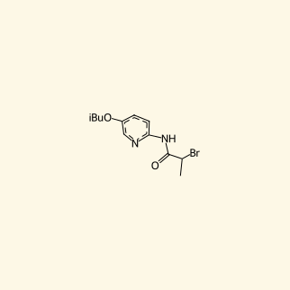 CC(C)COc1ccc(NC(=O)C(C)Br)nc1